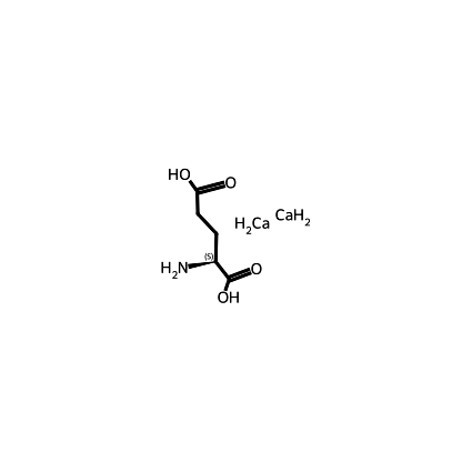 N[C@@H](CCC(=O)O)C(=O)O.[CaH2].[CaH2]